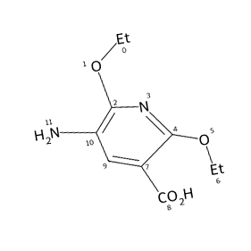 CCOc1nc(OCC)c(C(=O)O)cc1N